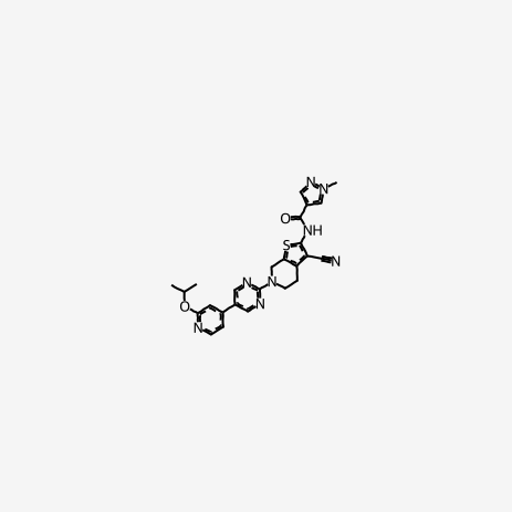 CC(C)Oc1cc(-c2cnc(N3CCc4c(sc(NC(=O)c5cnn(C)c5)c4C#N)C3)nc2)ccn1